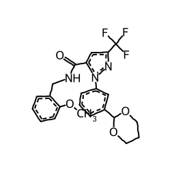 COc1ccccc1CNC(=O)c1cc(C(F)(F)F)nn1-c1cccc(C2OCCCO2)c1